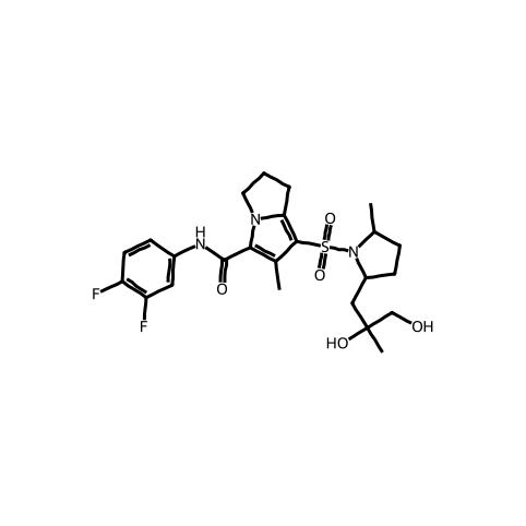 Cc1c(S(=O)(=O)N2C(C)CCC2CC(C)(O)CO)c2n(c1C(=O)Nc1ccc(F)c(F)c1)CCC2